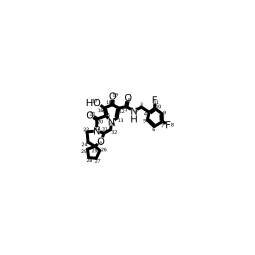 O=C(NCc1ccc(F)cc1F)c1cn2c(c(O)c1=O)C(=O)N1CCC3(CCCC3)OC1C2